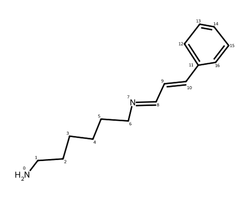 NCCCCCCN=CC=Cc1ccccc1